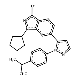 CCc1nn(C2CCCC2)c2cc(-c3ccnn3-c3ccc(C(C)C=O)cc3)ccc12